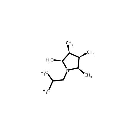 CC(C)CN1[C@H](C)[C@H](C)[C@H](C)[C@@H]1C